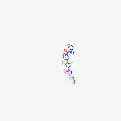 O=CNC[C@H]1CN(c2cc(F)c(N3CCON(C(=O)Nc4cccnc4)CC3)c(F)c2)C(=O)O1